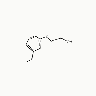 COc1cc[c]c(OCCO)c1